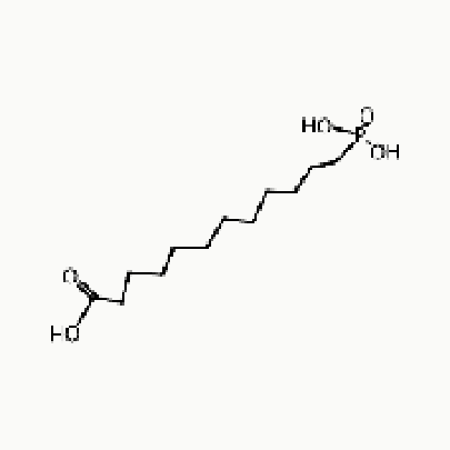 O=C(O)CCCCCCCCCCCP(=O)(O)O